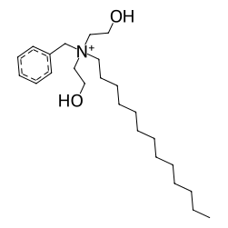 CCCCCCCCCCCCC[N+](CCO)(CCO)Cc1ccccc1